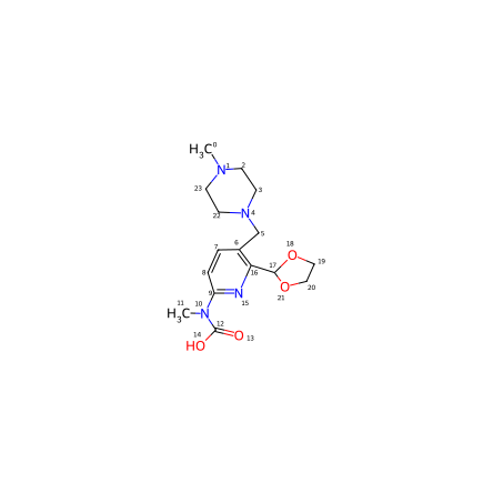 CN1CCN(Cc2ccc(N(C)C(=O)O)nc2C2OCCO2)CC1